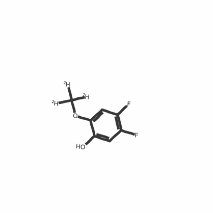 [2H]C([2H])([2H])Oc1cc(F)c(F)cc1O